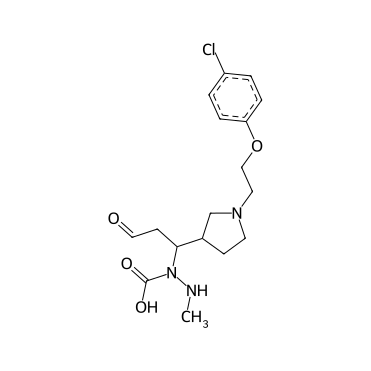 CNN(C(=O)O)C(CC=O)C1CCN(CCOc2ccc(Cl)cc2)C1